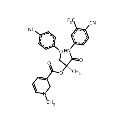 CN1C=CC=C(C(=O)O[C@@](C)(COc2ccc(C#N)cc2)C(=O)Nc2ccc(C#N)c(C(F)(F)F)c2)C1